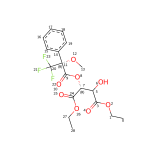 CCOC(=O)C(O)[C@@H](OC(=O)[C@](OC)(c1ccccc1)C(F)(F)F)C(=O)OCC